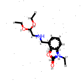 CCOC(CNCc1cccc2c1oc(=O)n2CC)OCC